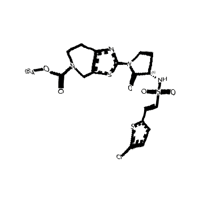 CC(C)(C)OC(=O)N1CCc2nc(N3CC[C@H](NS(=O)(=O)C=Cc4ccc(Cl)s4)C3=O)sc2C1